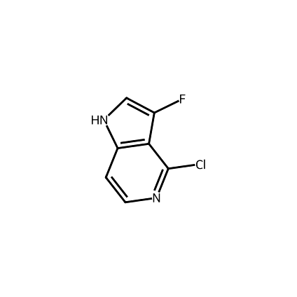 Fc1c[nH]c2ccnc(Cl)c12